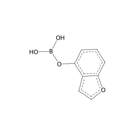 OB(O)Oc1cccc2occc12